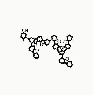 Cc1ccc(C#N)cc1-c1cc2c3ccc4c5ccccc5oc4c3n3c2c(c1)c1ccc2c4cc(-c5cccc6oc7c(ccc8c9cc(-c%10cccc%11c%10oc%10ccccc%10%11)cc%10c%11ccc%12c%13ccccc%13oc%12c%11n(c%109)c87)c56)ccc4oc2c13